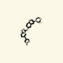 C[C@@H]1CN(c2cnc3ccc(Sc4nnc5ccc(-c6cnn(C)c6)cn45)cc3c2)CCO1